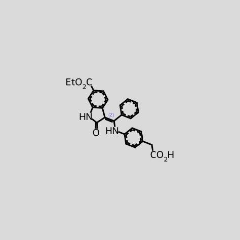 CCOC(=O)c1ccc2c(c1)NC(=O)/C2=C(\Nc1ccc(CC(=O)O)cc1)c1ccccc1